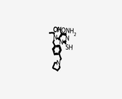 CC(C=O)N(Cc1ccc(CN2CCCC2)cc1)c1nc(S)nc(N)c1N=O